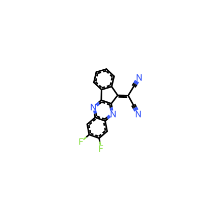 N#CC(C#N)=C1c2ccccc2-c2nc3cc(F)c(F)cc3nc21